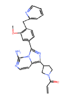 C=CC(=O)N1CCC(c2nc(-c3ccc(Cc4ccccn4)c(OC)c3)n3c(N)nccc23)C1